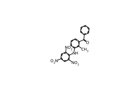 Cc1c(Nc2c([N+](=O)[O-])cc([N+](=O)[O-])cc2[N+](=O)[O-])cccc1C(=O)c1ccccc1